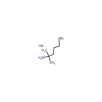 Br.CCCCCCCC(C)(C)N